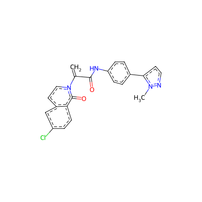 C=C(C(=O)Nc1ccc(-c2ccnn2C)cc1)n1ccc2cc(Cl)ccc2c1=O